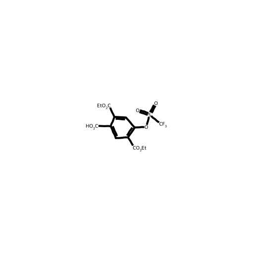 CCOC(=O)c1cc(C(=O)O)c(C(=O)OCC)cc1OS(=O)(=O)C(F)(F)F